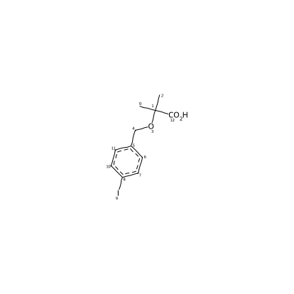 CC(C)(OCc1ccc(I)cc1)C(=O)O